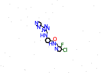 Cn1c(CNc2cccc(C(=O)NCc3nccc(Cl)c3F)c2)nnc1-c1ccncn1